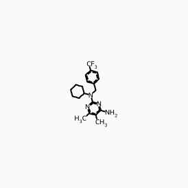 Cc1nc(N(Cc2ccc(C(F)(F)F)cc2)C2CCCCC2)nc(N)c1C